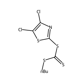 CCCCSC(=S)Sc1nc(Cl)c(Cl)s1